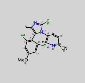 COc1cc(F)c(-c2c(C)nc(Cl)n2-c2ccc(C#N)nc2)c(F)c1